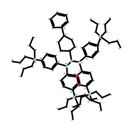 CCC[Si](CCC)(CCC)c1ccc(P(c2ccc([Si](CCC)(CCC)CCC)cc2)N(C2CCC(c3ccccc3)CC2)P(c2ccc([Si](CCC)(CCC)CCC)cc2)c2ccc([Si](CCC)(CCC)CCC)cc2)cc1